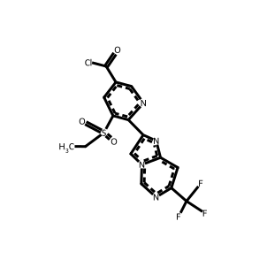 CCS(=O)(=O)c1cc(C(=O)Cl)cnc1-c1cn2cnc(C(F)(F)F)cc2n1